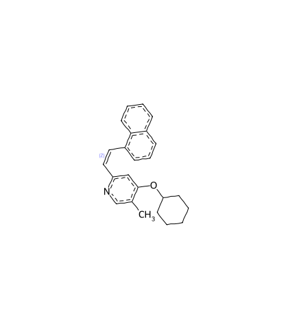 Cc1cnc(/C=C\c2cccc3ccccc23)cc1OC1CCCCC1